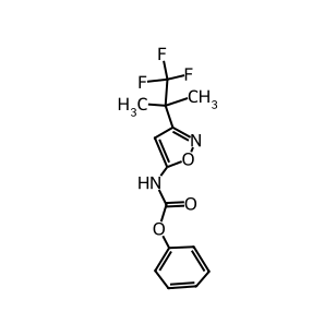 CC(C)(c1cc(NC(=O)Oc2ccccc2)on1)C(F)(F)F